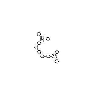 c1ccc(-c2cc(-c3ccc(-c4cccc(-c5ccc(-c6cccc(-c7ccc(-c8cc(-c9ccccc9)nc(-c9ccccc9)n8)cc7)c6)cc5)c4)cc3)nc(-c3ccccc3)n2)cc1